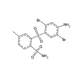 Cc1ccc(S(N)(=O)=O)c(S(=O)(=O)c2cc(Br)c(N)cc2Br)c1